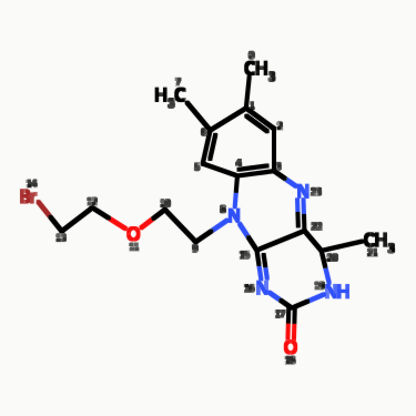 Cc1cc2c(cc1C)N(CCOCCBr)C1=NC(=O)NC(C)C1=N2